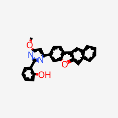 COc1cc(-c2ccc3c(c2)oc2cc4ccccc4cc23)nc(-c2ccccc2O)n1